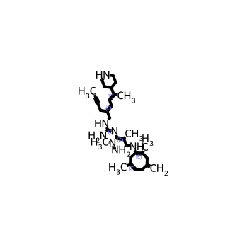 C=C1C/C=C(/C)C/C(NC/C(C)=C(/N=C(\N)NC/C(=C/C=C(\C)C2CCNCC2)CC#CC)N(C)N)=C(/C)C1